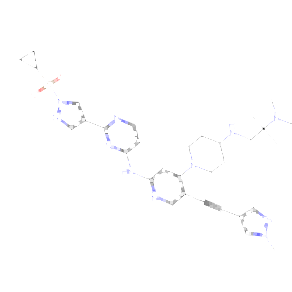 CN(C)C(C)(C)CNC1CCN(c2cc(Nc3ccnc(-c4cnn(S(=O)(=O)C5CC5)c4)n3)ncc2C#Cc2cnn(C)c2)CC1